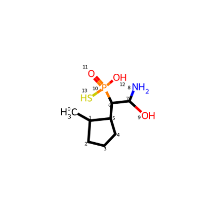 CC1CCCC1C(C(N)O)P(=O)(O)S